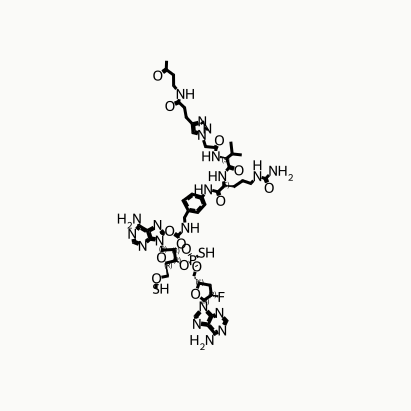 CC(=O)CCNC(=O)CCc1cn(CC(=O)N[C@H](C(=O)N[C@@H](CCCNC(N)=O)C(=O)Nc2ccc(CNC(=O)O[C@@H]3[C@H](OP(=O)(S)OC[C@@H]4C[C@@H](F)[C@H](n5cnc6c(N)ncnc65)O4)[C@@H](COS)O[C@H]3n3cnc4c(N)ncnc43)cc2)C(C)C)nn1